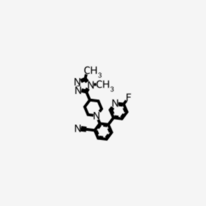 Cc1nnc(C2CCN(c3c(C#N)cccc3-c3ccc(F)nc3)CC2)n1C